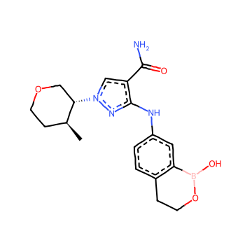 C[C@H]1CCOC[C@@H]1n1cc(C(N)=O)c(Nc2ccc3c(c2)B(O)OCC3)n1